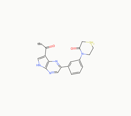 CC(C)(C)C(=O)c1c[nH]c2ncc(-c3cccc(N4CC[SH2]CC4=O)c3)nc12